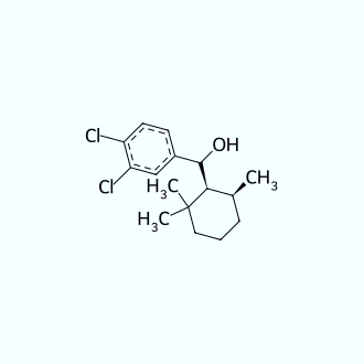 C[C@H]1CCCC(C)(C)[C@H]1C(O)c1ccc(Cl)c(Cl)c1